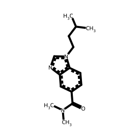 CC(C)CCn1cnc2cc(C(=O)N(C)C)ccc21